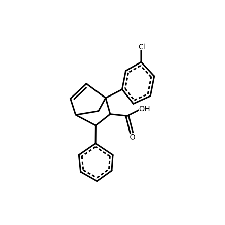 O=C(O)C1C(c2ccccc2)C2C=CC1(c1cccc(Cl)c1)C2